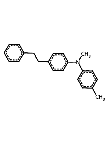 Cc1ccc(N(C)c2ccc(CCc3ccccc3)cc2)cc1